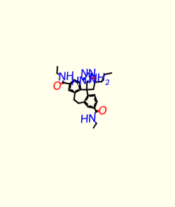 CCCC(N)CC1(c2nnn[nH]2)c2ccc(C(=O)NCC)cc2CCc2cc(C(=O)NCC)ccc21